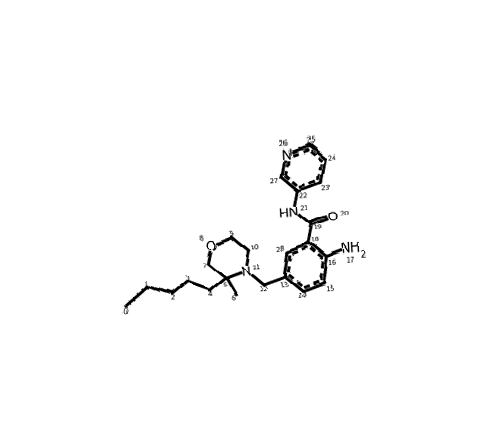 CCCCCC1(C)COCCN1Cc1ccc(N)c(C(=O)Nc2cccnc2)c1